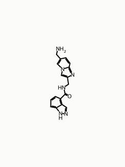 NCc1ccc2nc(CNC(=O)c3cccc4[nH]ncc34)cn2c1